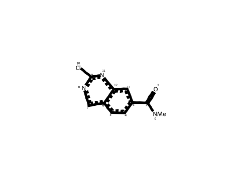 CNC(=O)c1ccc2cnc(Cl)nc2c1